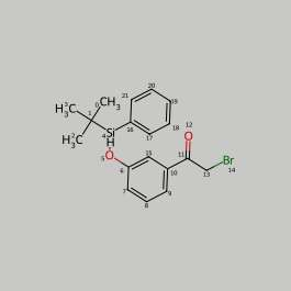 CC(C)(C)[SiH](Oc1cccc(C(=O)CBr)c1)c1ccccc1